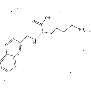 NCCCCC(NCc1ccc2ccccc2c1)C(=O)O